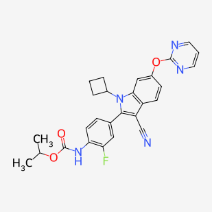 CC(C)OC(=O)Nc1ccc(-c2c(C#N)c3ccc(Oc4ncccn4)cc3n2C2CCC2)cc1F